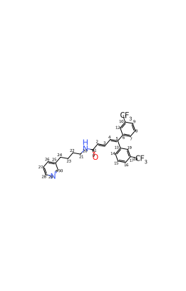 O=C(C=CC=C(c1cccc(C(F)(F)F)c1)c1cccc(C(F)(F)F)c1)NCCCCc1cccnc1